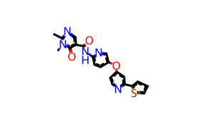 Cc1ncc(C(=O)Nc2ccc(Oc3ccnc(-c4cccs4)c3)cn2)c(=O)n1C